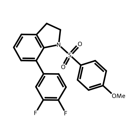 COc1ccc(S(=O)(=O)N2CCc3cccc(-c4ccc(F)c(F)c4)c32)cc1